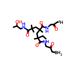 [2H]CC(=O)CNC(=O)C(C)(CC(C)(C)C(=O)NCC(C)O)CC(C)(CC)C(=O)NCC(=O)CB